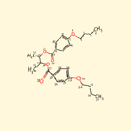 CCCCOc1ccc(C(=O)OC(C)C(C)OC(=O)c2ccc(OCCCC)cc2)cc1